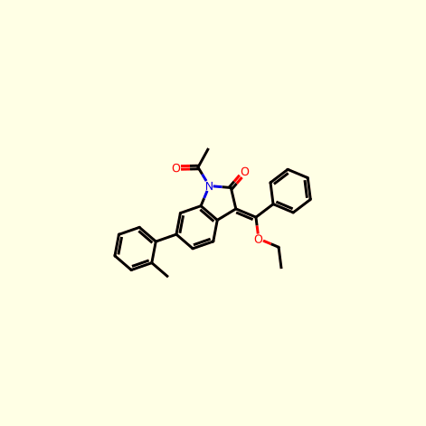 CCO/C(=C1/C(=O)N(C(C)=O)c2cc(-c3ccccc3C)ccc21)c1ccccc1